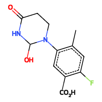 Cc1cc(F)c(C(=O)O)cc1N1CCC(=O)NC1O